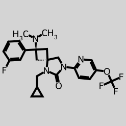 CN(C)[C@]1(c2cccc(F)c2)C[C@@]2(CN(c3ccc(OC(F)(F)F)cn3)C(=O)N2CC2CC2)C1